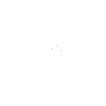 O=C1CCCCC1.[LiH]